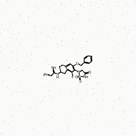 CC(C)CC(=N)NC1CCc2cc(OCc3ccccc3)c(N3CC(=O)NS3(=O)=O)c(F)c2C1